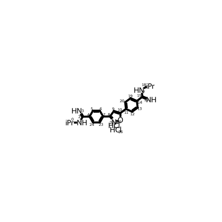 CC(C)NC(=N)c1ccc(-c2cc(-c3ccc(C(=N)NC(C)C)cc3)on2)cc1.Cl.Cl